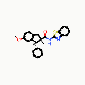 COc1ccc2c(c1)[C@@H](c1ccccc1)[C@@](C)(C(=O)Nc1nc3ccccc3s1)C2